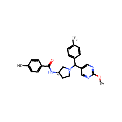 CC(C)Oc1ncc(C(c2ccc(C(F)(F)F)cc2)N2CC[C@@H](NC(=O)c3ccc(C#N)cc3)C2)cn1